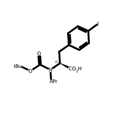 CCCN(C(=O)OC(C)(C)C)[C@@H](Cc1ccc(I)cc1)C(=O)O